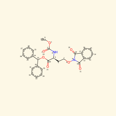 CC(C)(C)OC(=O)N[C@@H](CCON1C(=O)c2ccccc2C1=O)C(=O)OC(c1ccccc1)c1ccccc1